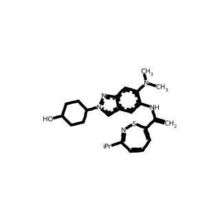 C=C(Nc1cc2cn(C3CCC(O)CC3)nc2cc1N(C)C)C1=CC=CC(C(C)C)=NS1